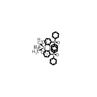 CC(C)(C)[Si]1(C(C)(C)C)c2cccc(P(=O)(c3ccccc3)c3ccccc3)c2Oc2c1cccc2P(=O)(c1ccccc1)c1ccccc1